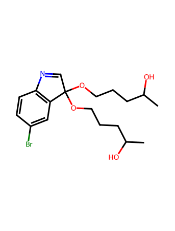 CC(O)CCCOC1(OCCCC(C)O)C=Nc2ccc(Br)cc21